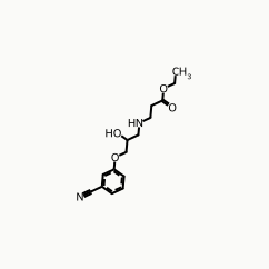 CCOC(=O)CCNCC(O)COc1cccc(C#N)c1